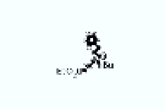 CCCCN(CCSCC(=O)OCC)C(=O)C=Cc1ccccc1